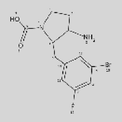 NC1CCN(C(=O)O)C1Cc1cc(F)cc(Br)c1